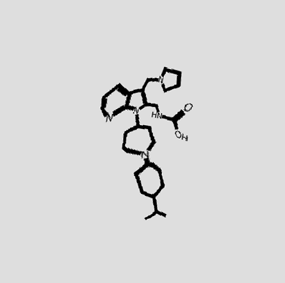 CC(C)C1CCC(N2CCC(n3c(CNC(=O)O)c(CN4CCCC4)c4cccnc43)CC2)CC1